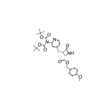 COc1ccc(COC(=O)[C@H]2NC(=O)C2Cc2ccnc(N(C(=O)OC(C)(C)C)C(=O)OC(C)(C)C)c2)cc1